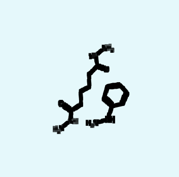 NNC(=O)CCCCC(=O)NN.NNc1ccccc1